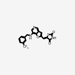 O=C1NC(=O)/C(=C/c2cc3cncc(NCc4cccc(C(F)(F)F)c4)c3o2)S1